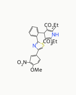 CCOC(=O)C1=C(C)NC(C)=C(C(=O)OCC)C1c1ccccc1-c1nc(-c2ccc(OC)c([N+](=O)[O-])c2)cs1